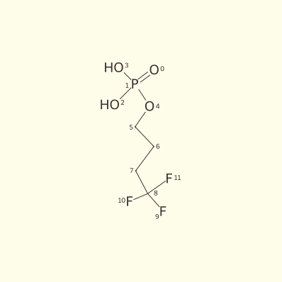 O=P(O)(O)OCCCC(F)(F)F